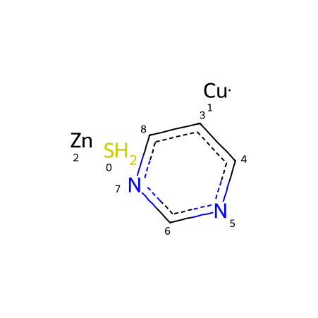 S.[Cu].[Zn].c1cncnc1